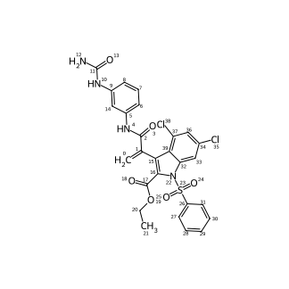 C=C(C(=O)Nc1cccc(NC(N)=O)c1)c1c(C(=O)OCC)n(S(=O)(=O)c2ccccc2)c2cc(Cl)cc(Cl)c12